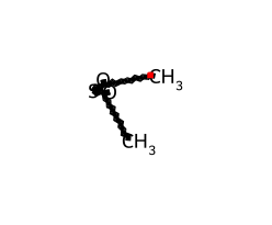 CCCCCCCCCCCCCC(=O)c1cscc1C(=O)CCCCCCCCCCCCC